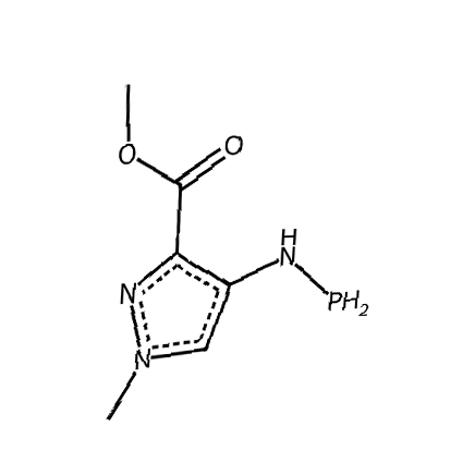 COC(=O)c1nn(C)cc1NP